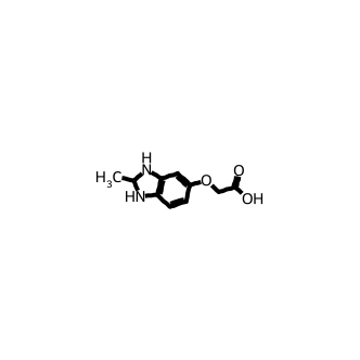 CC1Nc2ccc(OCC(=O)O)cc2N1